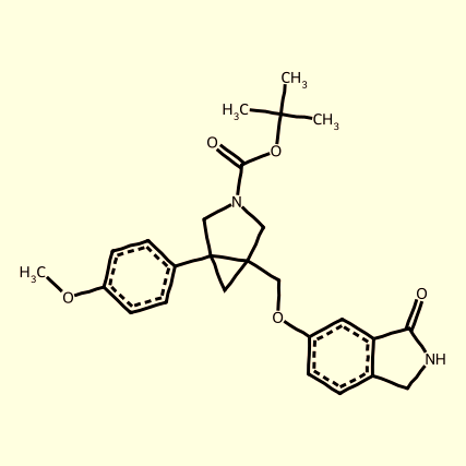 COc1ccc(C23CN(C(=O)OC(C)(C)C)CC2(COc2ccc4c(c2)C(=O)NC4)C3)cc1